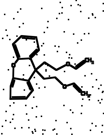 C=COCCC1(CCOC=C)c2ccccc2Oc2ccccc21